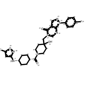 Cc1cc(N[C@H]2CC[C@@H](C(=O)N3CCC(O)(Cn4cnc5c(cnn5-c5ccc(F)cc5)c4=O)CC3)CC2)no1